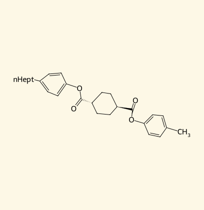 CCCCCCCc1ccc(OC(=O)[C@H]2CC[C@H](C(=O)Oc3ccc(C)cc3)CC2)cc1